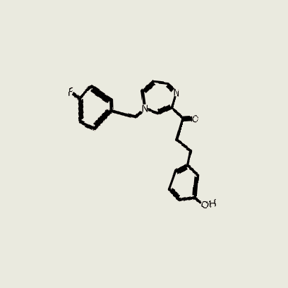 O=C(CCc1cccc(O)c1)C1=CN(Cc2ccc(F)cc2)C=CC=N1